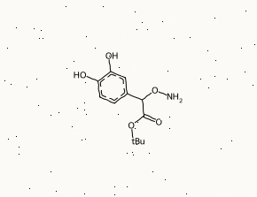 CC(C)(C)OC(=O)C(ON)c1ccc(O)c(O)c1